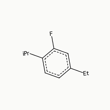 CCc1ccc(C(C)C)c(F)c1